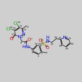 Cc1ccc(NC(=O)Cn2nc(C)c(Cl)c(Cl)c2=O)cc1S(=O)(=O)NCCc1ccccn1